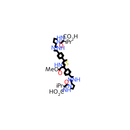 COC(=O)c1[nH]c2c(-c3ccc(-c4cnc(C5CCCN5C(=O)[C@@H](NC(=O)O)C(C)C)[nH]4)cc3)csc2c1-c1ccc(-c2c[nH]c(C3CCCN3C(=O)[C@@H](NC(=O)O)C(C)C)n2)cc1